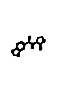 O=C(N[C@H]1CCOC1=O)c1ccc2c(c1)OCO2